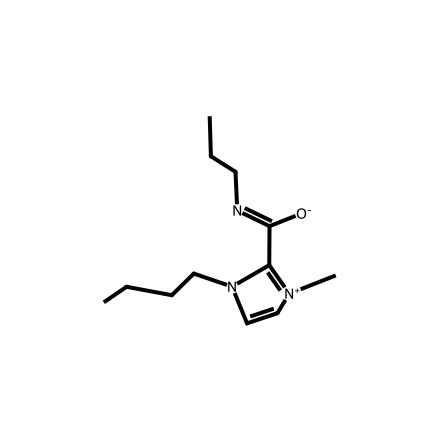 CCCCn1cc[n+](C)c1/C([O-])=N/CCC